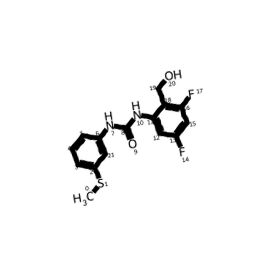 CSc1cccc(NC(=O)Nc2cc(F)cc(F)c2CO)c1